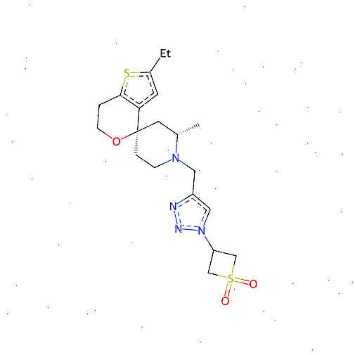 CCc1cc2c(s1)CCO[C@@]21CCN(Cc2cn(C3CS(=O)(=O)C3)nn2)[C@@H](C)C1